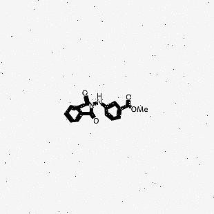 COC(=O)c1cccc(NN2C(=O)c3ccccc3C2=O)c1